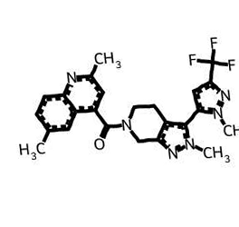 Cc1ccc2nc(C)cc(C(=O)N3CCc4c(nn(C)c4-c4cc(C(F)(F)F)nn4C)C3)c2c1